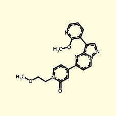 COCCn1ccc(-c2ccn3ncc(-c4cccnc4OC)c3n2)cc1=O